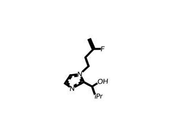 C=C(F)CCn1ccnc1C(O)C(C)C